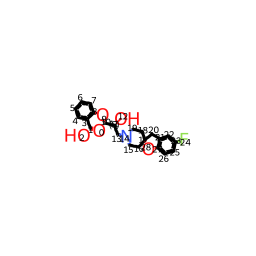 O=C(O)c1ccccc1OC[C@@H](O)CN1CCC2(CC1)Cc1cc(F)ccc1O2